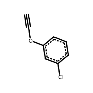 C#COc1cccc(Cl)c1